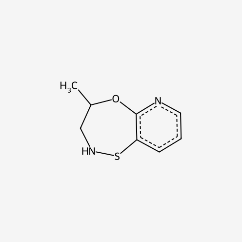 CC1CNSc2cccnc2O1